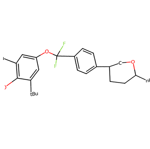 CCCCCC1CCC(c2ccc(C(F)(F)Oc3cc(C(C)(C)C)c(O)c(C(C)(C)C)c3)cc2)CO1